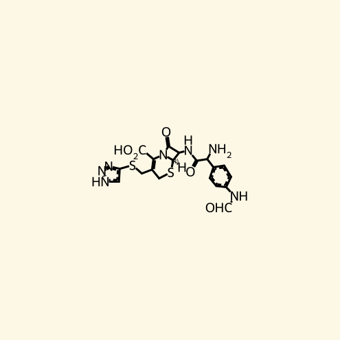 NC(C(=O)NC1C(=O)N2C(C(=O)O)=C(CSc3c[nH]nn3)CS[C@H]12)c1ccc(NC=O)cc1